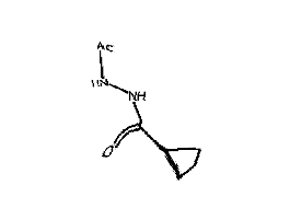 CC(=O)NNC(=O)C1CC1